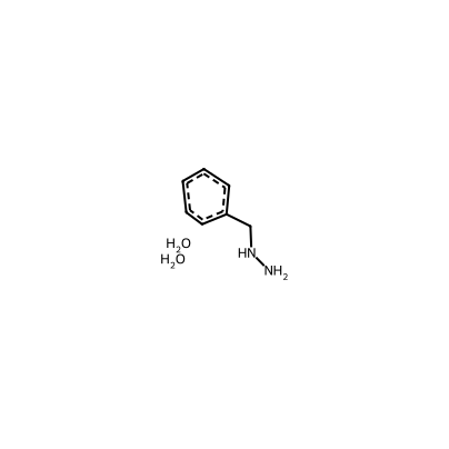 NNCc1ccccc1.O.O